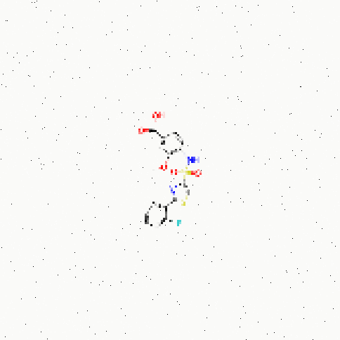 COc1cc(C(=O)O)ccc1NS(=O)(=O)c1csc(-c2ccccc2F)n1